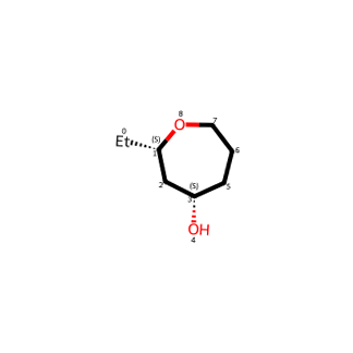 CC[C@H]1C[C@@H](O)CCCO1